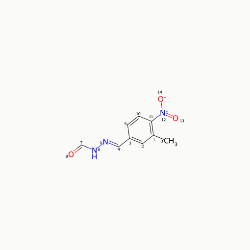 Cc1cc(C=NNC=O)ccc1[N+](=O)[O-]